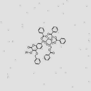 CC(C)Oc1c(OCc2ccccc2)c2ccc(O[C@@H]3O[C@H](COC(=O)c4ccccc4)[C@H](OC(=O)c4ccccc4)[C@H](OC(=O)c4ccccc4)[C@H]3OC(=O)c3ccccc3)cc2oc1=O